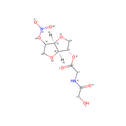 O=C(CO)NCC(=O)O[C@H]1CO[C@@H]2C(O[N+](=O)[O-])CO[C@H]12